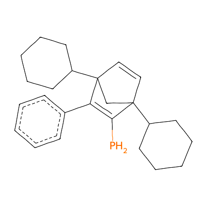 PC1=C(c2ccccc2)C2(C3CCCCC3)C=CC1(C1CCCCC1)C2